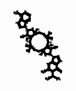 CC(C)n1c(N)nc2c(ncn2[C@@H]2O[C@@H]3COP(=O)(O)O[C@H]4[C@@H](O)[C@H](n5cnc6c(N)ncnc65)O[C@@H]4COP(=O)(O)O[C@H]3[C@H]2O)c1=O